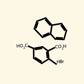 Br.Cc1ccc(C(=O)O)cc1C(=O)O.c1ccc2ccccc2c1